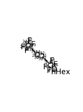 CCCCCCOc1c(F)c(F)c(C#Cc2ccc3cc(C#CC4C(F)=C(F)C(C)=C(F)C4F)ccc3c2)c(F)c1F